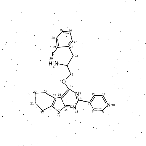 NC(COc1nc(-c2ccncc2)nc2sc3c(c12)CCCC3)Cc1ccccc1F